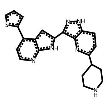 c1csc(-c2ccnc3[nH]c(-c4n[nH]c5ccc(C6CCNCC6)nc45)cc23)c1